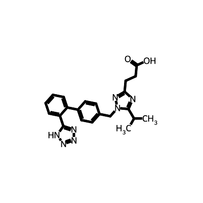 CC(C)c1nc(CCC(=O)O)nn1Cc1ccc(-c2ccccc2-c2nnn[nH]2)cc1